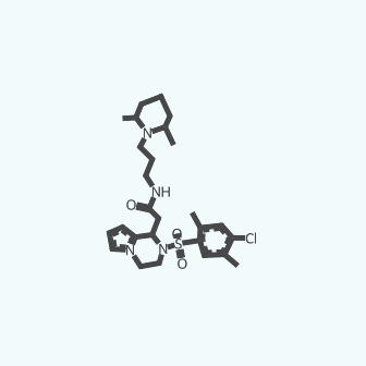 Cc1cc(S(=O)(=O)N2CCn3cccc3C2CC(=O)NCCCN2C(C)CCCC2C)c(C)cc1Cl